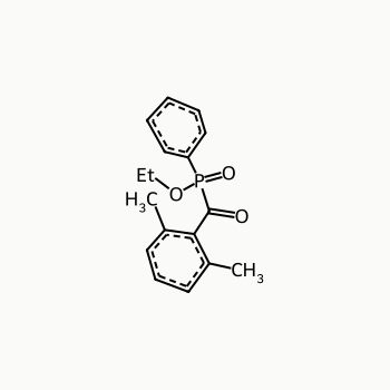 CCOP(=O)(C(=O)c1c(C)cccc1C)c1ccccc1